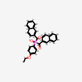 CCOc1ccc(P(=O)(C(=O)c2ccc3ccccc3c2)C(=O)c2ccc3ccccc3c2)cc1